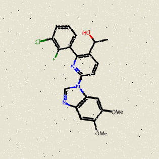 COc1cc2ncn(-c3ccc(C(C)O)c(-c4cccc(Cl)c4F)n3)c2cc1OC